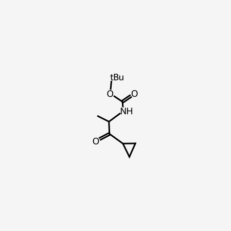 CC(NC(=O)OC(C)(C)C)C(=O)C1CC1